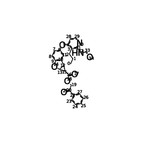 CCCc1c(Oc2ccc3c(c2)C2C(O3)C2C(=O)OCC(=O)c2ccccc2)ccnc1NC=O